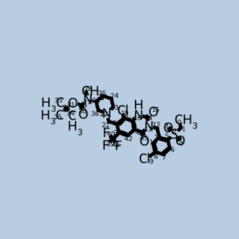 CCS(=O)(=O)c1ccc(Cl)cc1Cn1c(=O)[nH]c2c(Cl)c(CN3CCC[C@H](N(C)C(=O)OC(C)(C)C)C3)c(C(F)(F)F)cc2c1=O